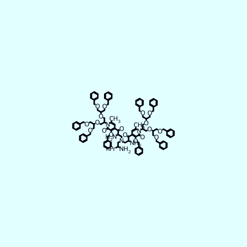 CCCC(N)CN(CC(N)C(=O)c1cc(C)n(C(COC(COCc2ccccc2)COCc2ccccc2)COC(COCc2ccccc2)COCc2ccccc2)c(=O)c1OCc1ccccc1)CC(N)C(=O)c1cc(C)n(C(COC(COCc2ccccc2)COCc2ccccc2)COC(COCc2ccccc2)COCc2ccccc2)c(=O)c1OCc1ccccc1